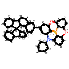 S=P12c3c4cccc3Oc3cc(-c5ccc6c7c(ccc6c5)-c5ccccc5C75c6ccccc6-c6ccccc65)cc(c31)N(c1ccccc1)c1cccc(c12)O4